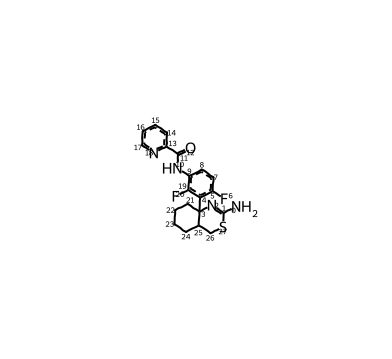 NC1=NC2(c3c(F)ccc(NC(=O)c4ccccn4)c3F)CCCCC2CS1